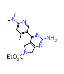 CCOC(=O)N1Cc2nc(N)nc(-c3cnc(N(C)C)cc3C)c2C1